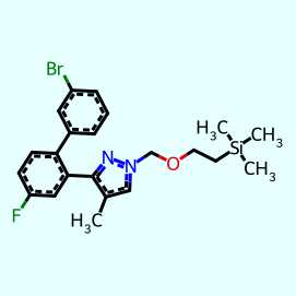 Cc1cn(COCC[Si](C)(C)C)nc1-c1cc(F)ccc1-c1cccc(Br)c1